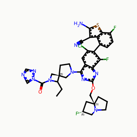 CCC1N(C(=O)n2cncn2)C[C@]12CCN(c1nc(OC[C@@]34CCCN3C[C@H](F)C4)nc3c(F)c(-c4ccc(F)c5sc(N)c(C#N)c45)c(Cl)cc13)C2